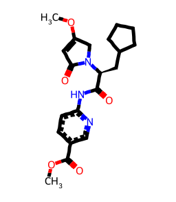 COC(=O)c1ccc(NC(=O)[C@H](CC2CCCC2)N2CC(OC)=CC2=O)nc1